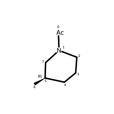 CC(=O)N1CCC[C@@H](C)C1